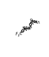 CCN1CCN(C(=O)c2cc3ccc(Oc4cnc(-c5nc(-c6ccc(C(F)(F)F)cc6)no5)cn4)cc3n2C)CC1